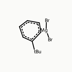 CC(C)(C)c1ccccc1.[Br][Mg][Br]